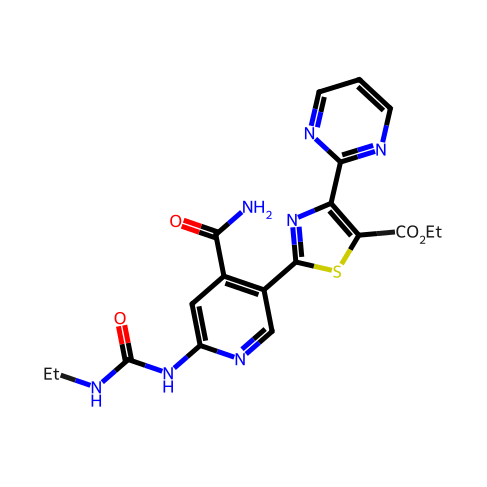 CCNC(=O)Nc1cc(C(N)=O)c(-c2nc(-c3ncccn3)c(C(=O)OCC)s2)cn1